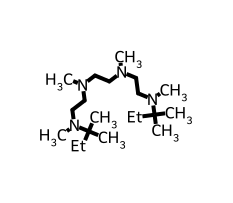 CCC(C)(C)N(C)CCN(C)CCN(C)CCN(C)C(C)(C)CC